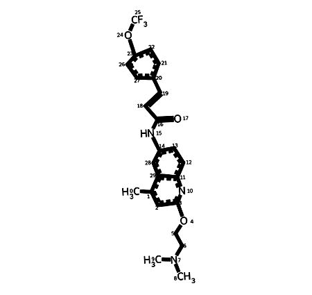 Cc1cc(OCCN(C)C)nc2ccc(NC(=O)C=Cc3ccc(OC(F)(F)F)cc3)cc12